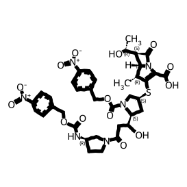 C[C@@H](O)[C@H]1C(=O)N2C(C(=O)O)=C(S[C@H]3C[C@@H](C(O)CC(=O)N4CC[C@@H](NC(=O)OCc5ccc([N+](=O)[O-])cc5)C4)N(C(=O)OCc4ccc([N+](=O)[O-])cc4)C3)[C@H](C)[C@H]12